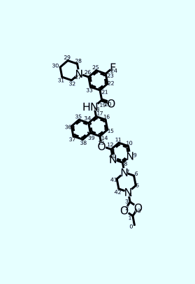 CC1OC(N2CCN(c3nccc(Oc4ccc(NC(=O)c5cc(F)cc(N6CCCCC6)c5)c5ccccc45)n3)CC2)O1